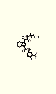 CC(C)(CO)NC(=O)C(=O)c1cc(C(=O)Nc2ccc(F)c(C(F)F)c2)c2n1CCCC2